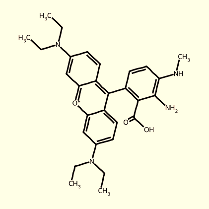 CCN(CC)c1ccc2c(-c3ccc(NC)c(N)c3C(=O)O)c3ccc(N(CC)CC)cc3[o+]c2c1